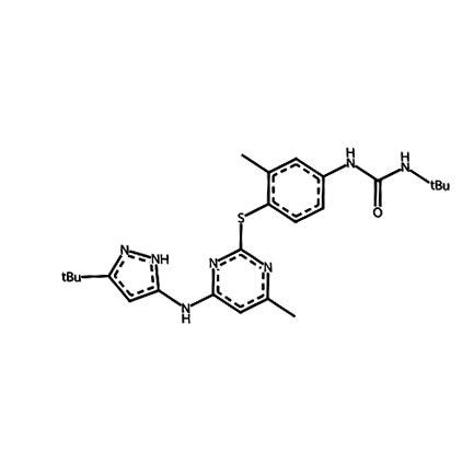 Cc1cc(Nc2cc(C(C)(C)C)n[nH]2)nc(Sc2ccc(NC(=O)NC(C)(C)C)cc2C)n1